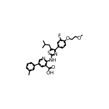 COCCOc1ccc(-c2nc(Nc3ncc(-c4cccc(C)c4)cc3C(=O)O)sc2CC(C)C)cc1F